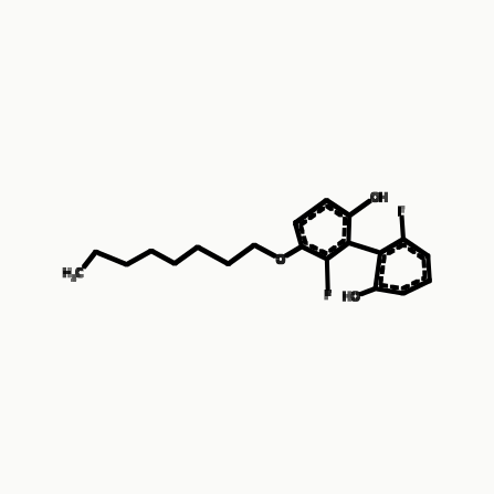 CCCCCCCCOc1ccc(O)c(-c2c(O)cccc2F)c1F